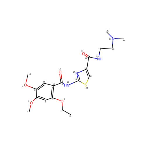 CCOc1cc(OC)c(OC)cc1C(=O)Nc1nc(C(=O)NCCN(C)C)cs1